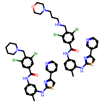 Cc1ccc(NC(=O)c2cc(Br)c(CN3CCCCC3)c(Br)c2)cc1Nc1nc(-c2cccnc2)cs1.Cc1ccc(NC(=O)c2cc(Br)c(CNCCCN3CCOCC3)c(Br)c2)cc1Nc1nc(-c2cccnc2)cs1